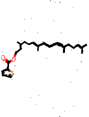 CC(C)=CCC/C(C)=C/CC/C(C)=C/CC/C(C)=C/COC(=O)c1cccs1